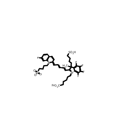 CC1(CCCCS(=O)(=O)O)C(/C=C/C=C/C=C2\C=Cc3ccc(F)cc3N2CCCCS(=O)(=O)[O-])=[N+](CCCCCC(=O)O)c2c(F)c(F)c(F)c(F)c21